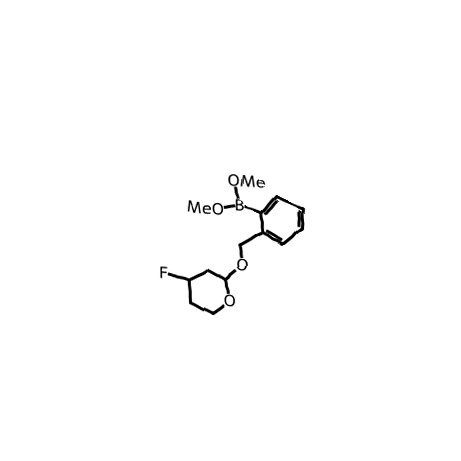 COB(OC)c1ccccc1COC1CC(F)CCO1